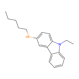 CCCCCPc1ccc2c(c1)c1ccccc1n2CC